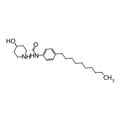 CCCCCCCCCCc1ccc(NC(=O)[C@H]2C[C@H](O)CCN2)cc1